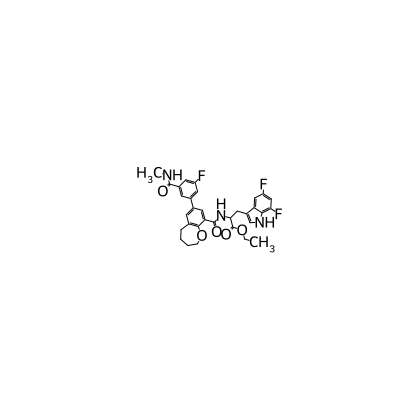 CCOC(=O)C(Cc1c[nH]c2c(F)cc(F)cc12)NC(=O)c1cc(-c2cc(F)cc(C(=O)NC)c2)cc2c1OCCCC2